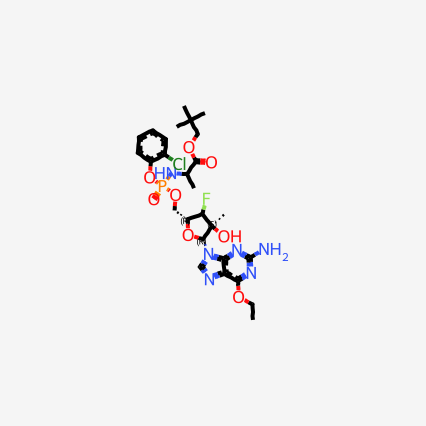 CCOc1nc(N)nc2c1ncn2[C@@H]1O[C@H](COP(=O)(NC(C)C(=O)OCC(C)(C)C)Oc2ccccc2Cl)C(F)[C@@]1(C)O